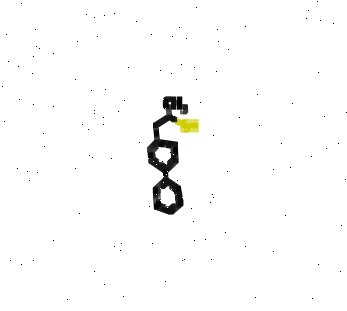 CC(S)Cc1ccc(-c2ccccc2)cc1